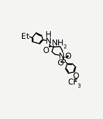 CCc1ccc(NC(=O)C2(N)CCN(S(=O)(=O)c3ccc(OC(F)(F)F)cc3)CC2)cc1